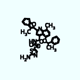 Cc1c(-c2cc(C(=O)NS(=O)(=O)c3cnc(N)s3)c3c(OC(C)c4ccccc4)ccc(C)c3n2)oc2ccccc12